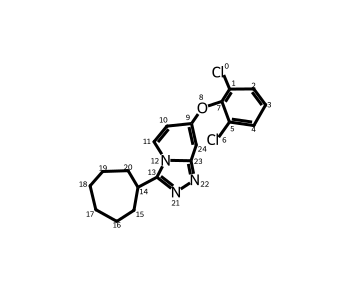 Clc1cccc(Cl)c1Oc1ccn2c(C3CCCCCC3)nnc2c1